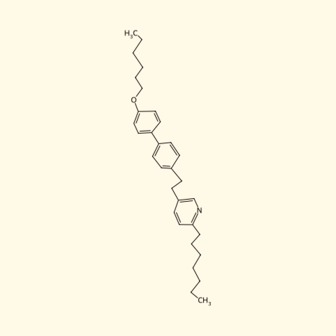 CCCCCCCc1ccc(CCc2ccc(-c3ccc(OCCCCCC)cc3)cc2)cn1